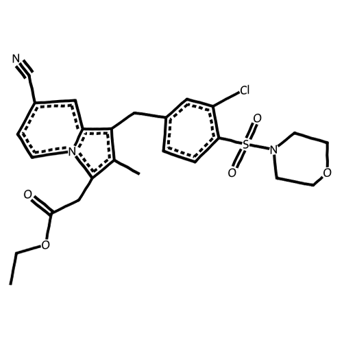 CCOC(=O)Cc1c(C)c(Cc2ccc(S(=O)(=O)N3CCOCC3)c(Cl)c2)c2cc(C#N)ccn12